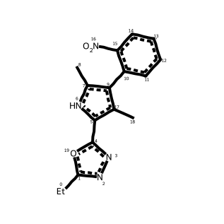 CCc1nnc(-c2[nH]c(C)c(-c3cc[c]cc3[N+](=O)[O-])c2C)o1